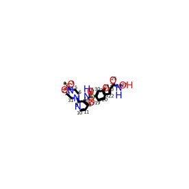 CS(=O)(=O)N1CCN(c2ncccc2NS(=O)(=O)c2ccc3cc(C(=O)NO)oc3c2)CC1